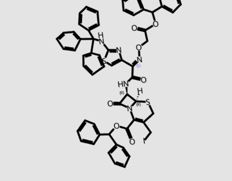 O=C(CO/N=C(/C(=O)N[C@@H]1C(=O)N2C(C(=O)OC(c3ccccc3)c3ccccc3)=C(CI)CS[C@H]12)c1csc(NC(c2ccccc2)(c2ccccc2)c2ccccc2)n1)OC(c1ccccc1)c1ccccc1